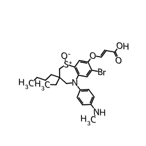 CCCCC1(CC)CN(c2ccc(NC)cc2)c2cc(Br)c(O/C=C/C(=O)O)cc2[S+]([O-])C1